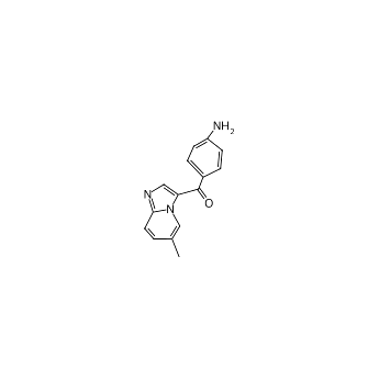 Cc1ccc2ncc(C(=O)c3ccc(N)cc3)n2c1